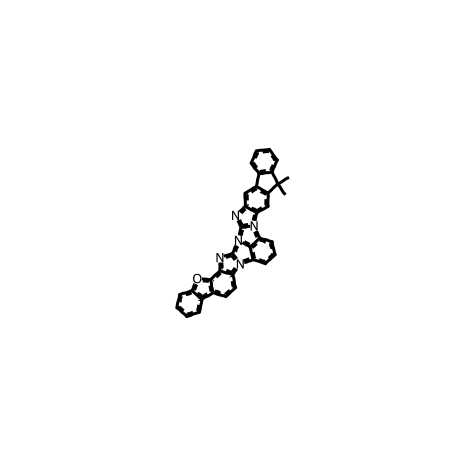 CC1(C)c2ccccc2-c2cc3nc4n(c3cc21)c1cccc2c1n4c1nc3c4oc5ccccc5c4ccc3n21